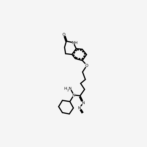 C=N/N=C(/CCCCOc1ccc2c(c1)CCC(=O)N2)N(N)C1CCCCC1